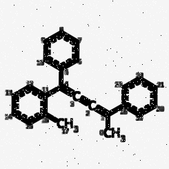 CC(=C=C=C(c1ccccc1)c1ccccc1C)c1ccccc1